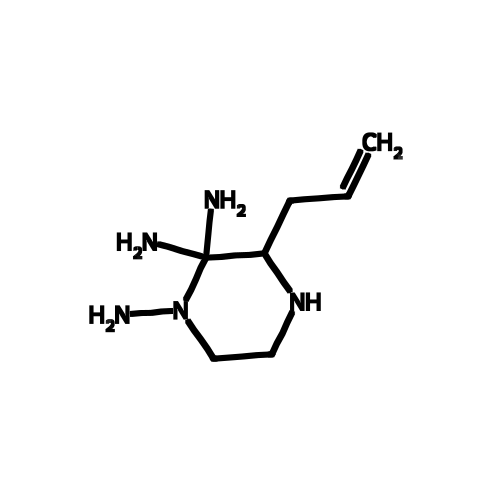 C=CCC1NCCN(N)C1(N)N